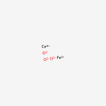 [Ce+4].[Fe+2].[O-2].[O-2].[O-2]